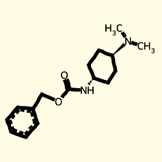 CN(C)[C@H]1CC[C@H](NC(=O)OCc2ccccc2)CC1